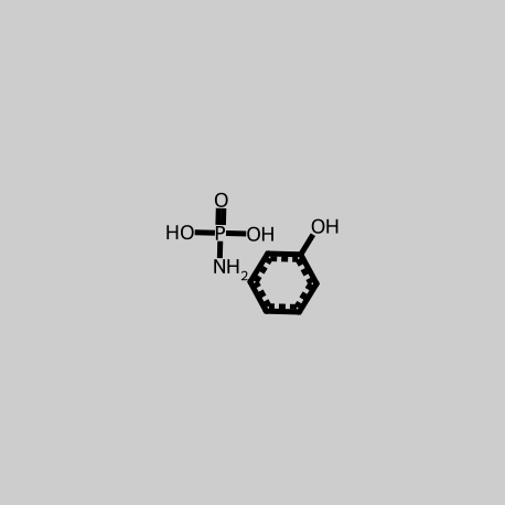 NP(=O)(O)O.Oc1ccccc1